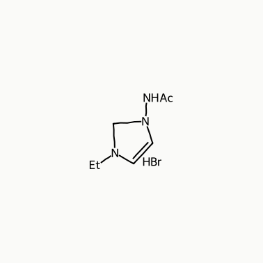 Br.CCN1C=CN(NC(C)=O)C1